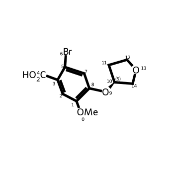 COc1cc(C(=O)O)c(Br)cc1O[C@H]1CCOC1